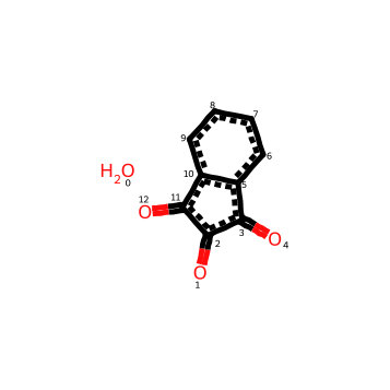 O.O=c1c(=O)c2ccccc2c1=O